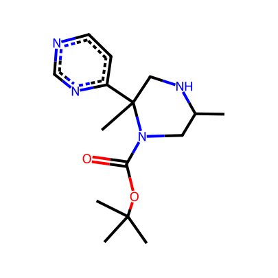 CC1CN(C(=O)OC(C)(C)C)C(C)(c2ccncn2)CN1